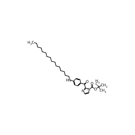 CCCCCCCCCCCCCCCCNc1ccc(C(=O)c2nccn2C(=O)OC(C)(C)C)cc1